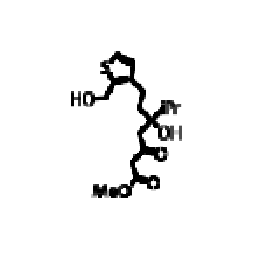 COC(=O)CC(=O)CC(O)(CCc1ccsc1CO)C(C)C